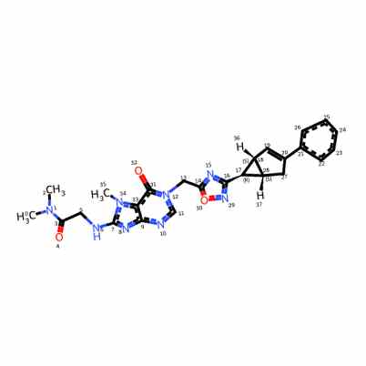 CN(C)C(=O)CNc1nc2ncn(Cc3nc([C@H]4[C@@H]5C=C(c6ccccc6)C[C@@H]54)no3)c(=O)c2n1C